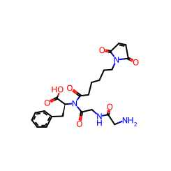 NCC(=O)NCC(=O)N(C(=O)CCCCCN1C(=O)C=CC1=O)[C@@H](Cc1ccccc1)C(=O)O